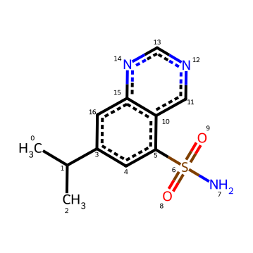 CC(C)c1cc(S(N)(=O)=O)c2cncnc2c1